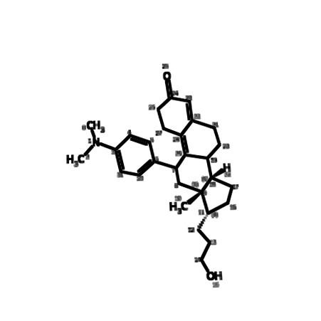 CN(C)c1ccc(C2C[C@@]3(C)[C@@H](CCCO)CC[C@H]3C3CCC4=CC(=O)CCC4=C23)cc1